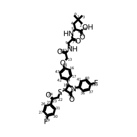 CC(C)(C)CC(NC(=O)CNC(=O)COc1ccc([C@@H]2[C@@H](SCC(=O)c3ccc(F)cc3)C(=O)N2c2ccc(F)cc2)cc1)C(=O)O